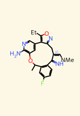 CCc1onc2c1-c1cnc(N)c(c1)OC(C)c1cc(F)ccc1C(=N)/C(=C\NC)C2